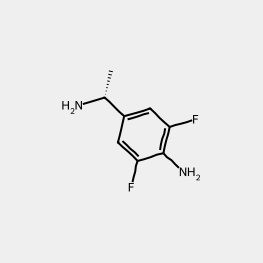 C[C@@H](N)c1cc(F)c(N)c(F)c1